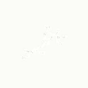 CCCN(OCC)C(=O)C1=Cc2sc(CCC3(O)CN(C(=O)OC(C)(C)C)C3)cc2N=C(N)C1